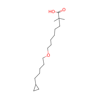 CC(C)(CCCCCCOCCCCCC1CC1)C(=O)O